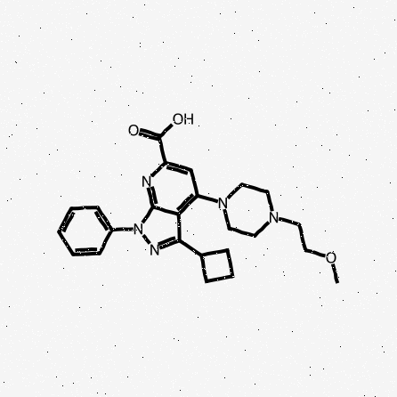 COCCN1CCN(c2cc(C(=O)O)nc3c2c(C2CCC2)nn3-c2ccccc2)CC1